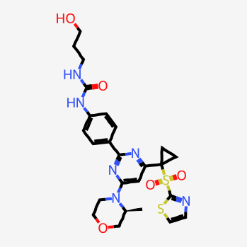 C[C@H]1COCCN1c1cc(C2(S(=O)(=O)c3nccs3)CC2)nc(-c2ccc(NC(=O)NCCCO)cc2)n1